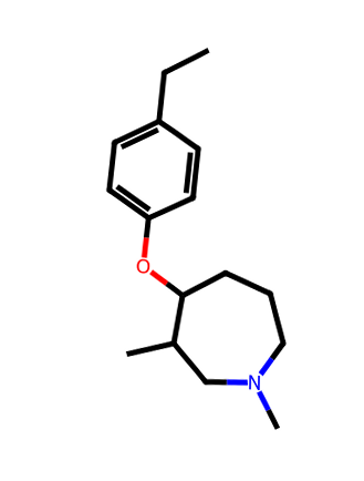 CCc1ccc(OC2CCCN(C)CC2C)cc1